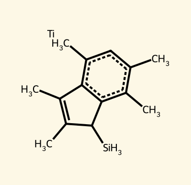 CC1=C(C)C([SiH3])c2c(C)c(C)cc(C)c21.[Ti]